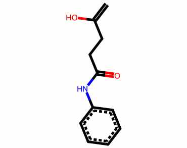 C=C(O)CCC(=O)Nc1ccccc1